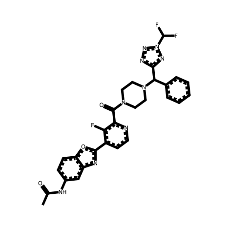 CC(=O)Nc1ccc2oc(-c3ccnc(C(=O)N4CCN(C(c5ccccc5)c5nnn(C(F)F)n5)CC4)c3F)nc2c1